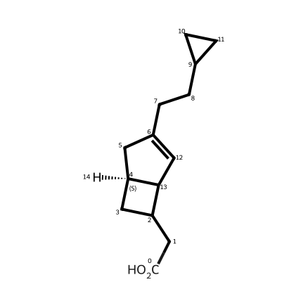 O=C(O)CC1C[C@H]2CC(CCC3CC3)=CC12